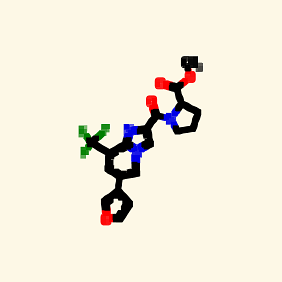 COC(=O)C1CCCN1C(=O)c1cn2cc(-c3ccoc3)cc(C(F)(F)F)c2n1